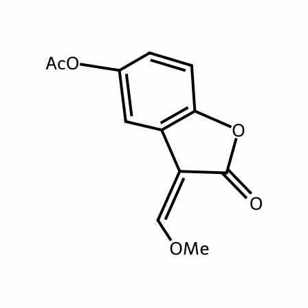 COC=C1C(=O)Oc2ccc(OC(C)=O)cc21